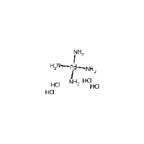 Cl.Cl.Cl.Cl.[NH2][Pd]([NH2])([NH2])[NH2]